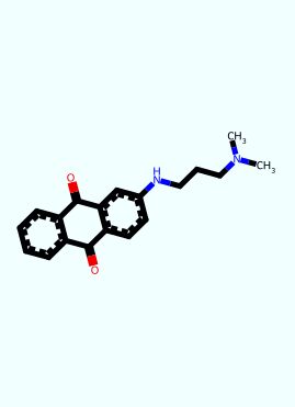 CN(C)CCCNc1ccc2c(c1)C(=O)c1ccccc1C2=O